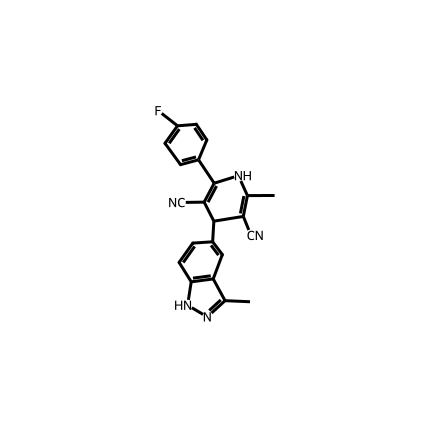 CC1=C(C#N)C(c2ccc3[nH]nc(C)c3c2)C(C#N)=C(c2ccc(F)cc2)N1